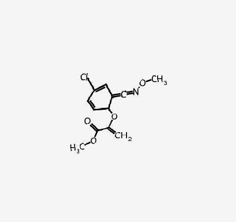 C=C(OC1C=CC(Cl)=CC1=C=NOC)C(=O)OC